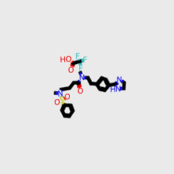 CN(CCc1ccc(C2=NCCN2)cc1)C(=O)CCCN(C)S(=O)(=O)c1ccccc1.O=C(O)C(F)(F)F